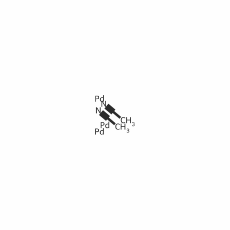 CC#N.CC#N.[Pd].[Pd].[Pd]